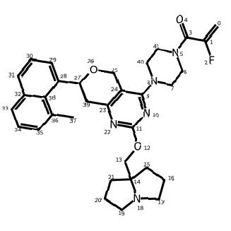 C=C(F)C(=O)N1CCN(c2nc(OCC34CCCN3CCC4)nc3c2COC(c2cccc4cccc(C)c24)C3)CC1